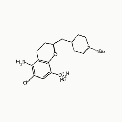 CCCCN1CCC(CC2CCc3c(N)c(Cl)cc(C(=O)O)c3O2)CC1.Cl